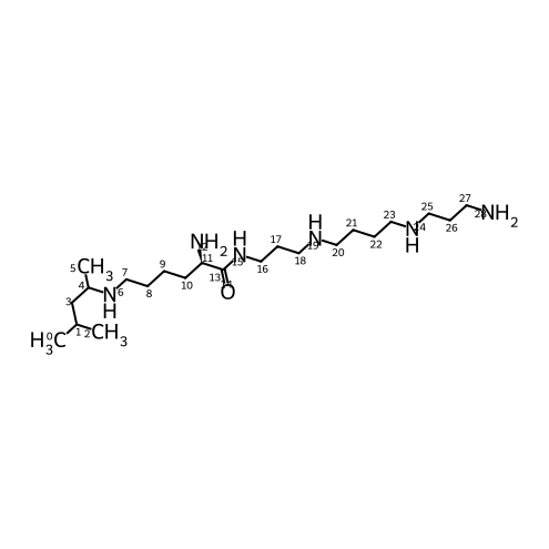 CC(C)CC(C)NCCCC[C@@H](N)C(=O)NCCCNCCCCNCCCN